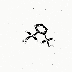 CS(=O)(=O)c1ccsc1S(C)(=O)=O